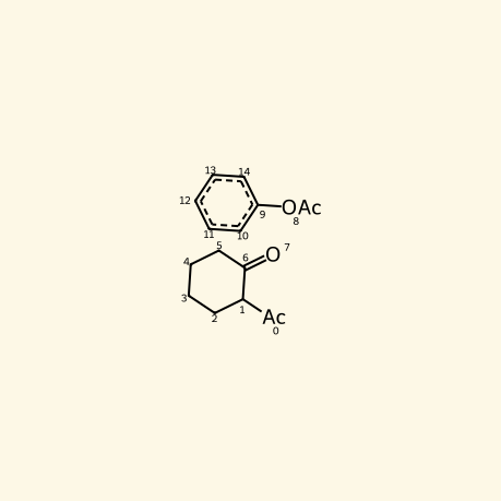 CC(=O)C1CCCCC1=O.CC(=O)Oc1ccccc1